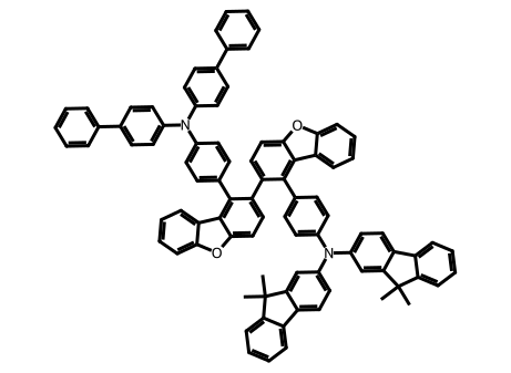 CC1(C)c2ccccc2-c2ccc(N(c3ccc(-c4c(-c5ccc6oc7ccccc7c6c5-c5ccc(N(c6ccc(-c7ccccc7)cc6)c6ccc(-c7ccccc7)cc6)cc5)ccc5oc6ccccc6c45)cc3)c3ccc4c(c3)C(C)(C)c3ccccc3-4)cc21